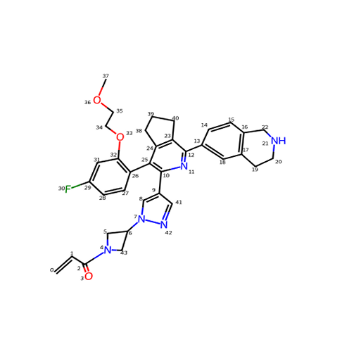 C=CC(=O)N1CC(n2cc(-c3nc(-c4ccc5c(c4)CCNC5)c4c(c3-c3ccc(F)cc3OCCOC)CCC4)cn2)C1